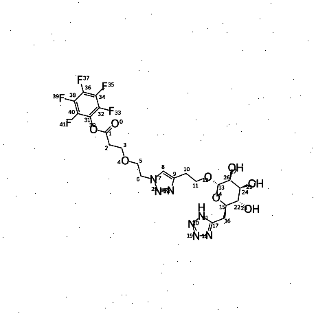 O=C(CCOCCn1cc(CCO[C@H]2O[C@H](Cc3nnn[nH]3)[C@@H](O)[C@H](O)[C@@H]2O)nn1)Oc1c(F)c(F)c(F)c(F)c1F